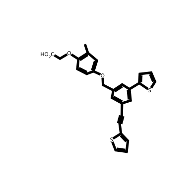 Cc1cc(OCc2cc(C#Cc3cccs3)cc(-c3cccs3)c2)ccc1OCC(=O)O